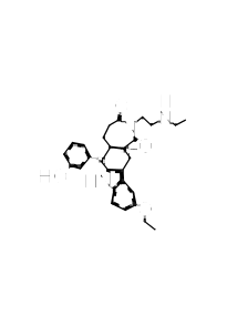 CCNCCN1C(=O)CCC2[C@H](c3cccc(O)c3)c3[nH]c4ccc(OCC)cc4c3C[C@@]2(C)C1=O